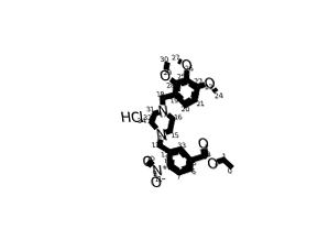 CCOC(=O)c1ccc([N+](=O)[O-])c(CN2CCN(Cc3ccc(OC)c(OC)c3OC)CC2)c1.Cl